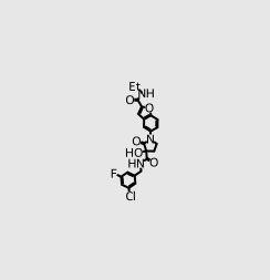 CCNC(=O)c1cc2cc(N3CCC(O)(C(=O)NCc4cc(F)cc(Cl)c4)C3=O)ccc2o1